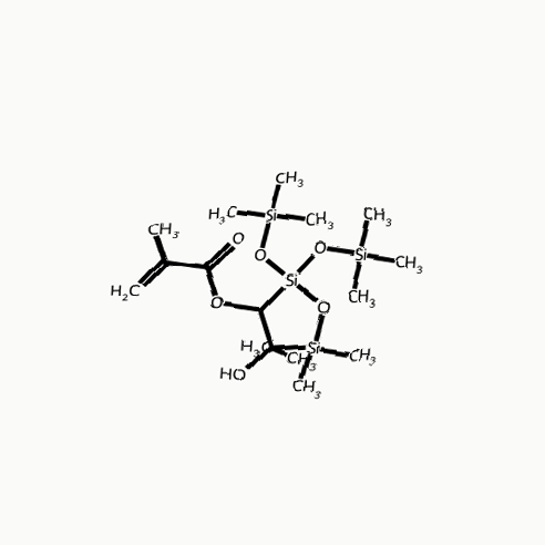 C=C(C)C(=O)OC(C(C)O)[Si](O[Si](C)(C)C)(O[Si](C)(C)C)O[Si](C)(C)C